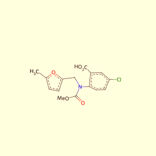 COC(=O)N(Cc1ccc(C)o1)c1ccc(Cl)cc1C(=O)O